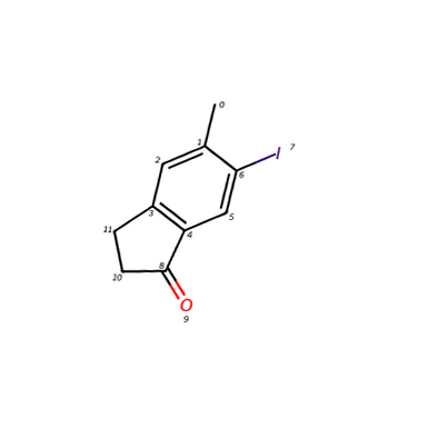 Cc1cc2c(cc1I)C(=O)CC2